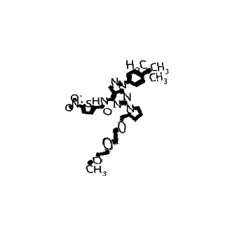 CCOCCOCCOCC1CCCN1c1nc(NC(=O)c2ccc([N+](=O)[O-])s2)c2cnn(-c3ccc(C(C)(C)C)cc3)c2n1